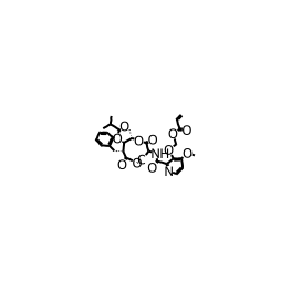 C=CC(=O)OCOc1c(OC)ccnc1C(=O)NC1COC(=O)[C@H](Cc2ccccc2)[C@@H](OC(=O)C(C)C)[C@H](C)OC1=O